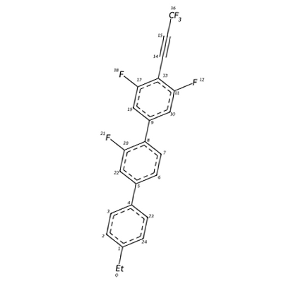 CCc1ccc(-c2ccc(-c3cc(F)c(C#CC(F)(F)F)c(F)c3)c(F)c2)cc1